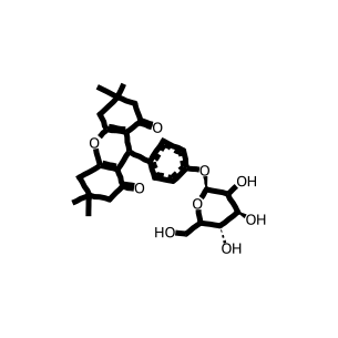 CC1(C)CC(=O)C2=C(C1)OC1=C(C(=O)CC(C)(C)C1)C2c1ccc(O[C@@H]2OC(CO)[C@@H](O)[C@H](O)C2O)cc1